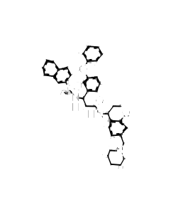 O=C(CC(NS(=O)(=O)c1ccc2ccccc2c1)c1cccc(Oc2ccccc2)c1)NC1CCOc2cc(CN3CCCCC3)ccc21